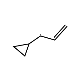 C=C[CH]C1CC1